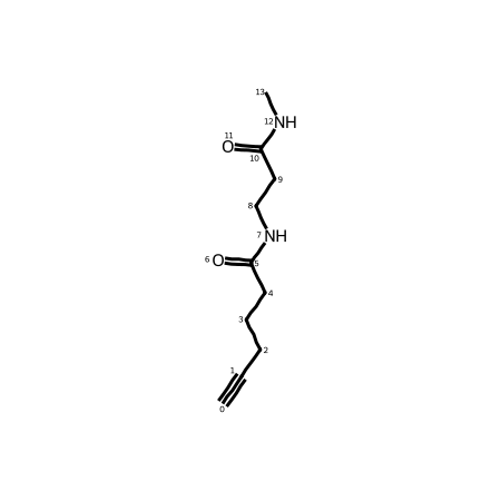 C#CCCCC(=O)NCCC(=O)NC